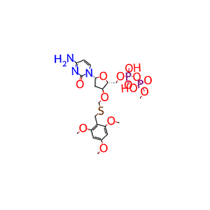 COc1cc(OC)c(CSCO[C@H]2C[C@H](n3ccc(N)nc3=O)O[C@@H]2COP(=O)(O)OP(=O)(O)OC)c(OC)c1